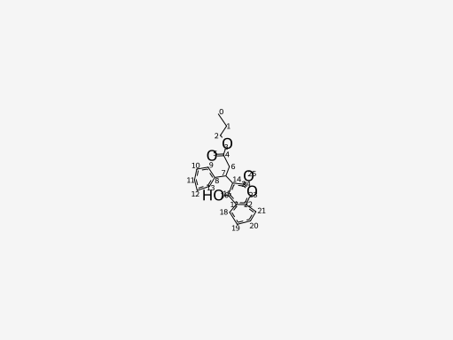 CCCOC(=O)CC(c1ccccc1)c1c(O)c2ccccc2oc1=O